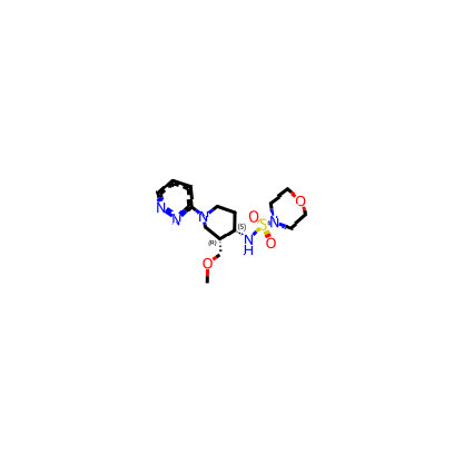 COC[C@@H]1CN(c2cccnn2)CC[C@@H]1NS(=O)(=O)N1CCOCC1